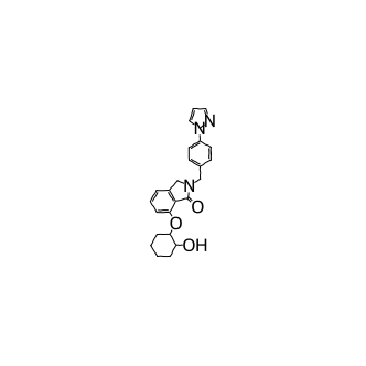 O=C1c2c(cccc2OC2CCCCC2O)CN1Cc1ccc(-n2cccn2)cc1